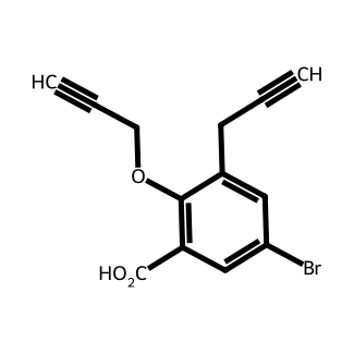 C#CCOc1c(CC#C)cc(Br)cc1C(=O)O